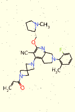 C=CC(=O)N1CC2(C1)CN(c1c(C#N)c(OC[C@@H]3CCCN3C)nc3c1CCN(c1c(C)cccc1F)C3)C2